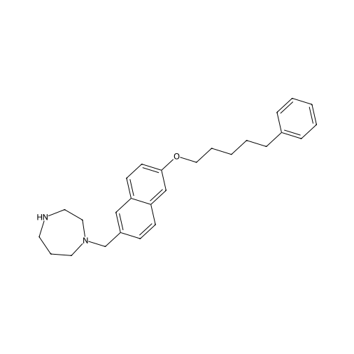 c1ccc(CCCCCOc2ccc3cc(CN4CCCNCC4)ccc3c2)cc1